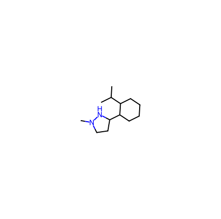 CC(C)C1CCCCC1C1CCN(C)N1